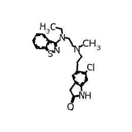 CCN(CCN(C)CCc1cc2c(cc1Cl)NC(=O)C2)c1nsc2ccccc12